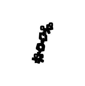 CC1(C(=O)N2CCN(c3ccc(B4OC(C)(C)C(C)(C)O4)cc3)CC2)COC1